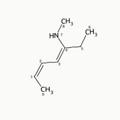 C/C=C\C=C(\CC)NC